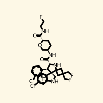 O=C(NCCF)[C@@H]1CC[C@@H](NC(=O)[C@@H]2NC3(CC(CF)(CF)C3)[C@@]3(CNc4cc(Cl)ccc43)[C@H]2c2cccc(Cl)c2F)CO1